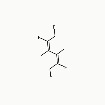 CC(=C(\F)CF)/C(C)=C(/F)CF